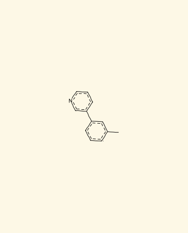 Cc1[c]ccc(-c2cccnc2)c1